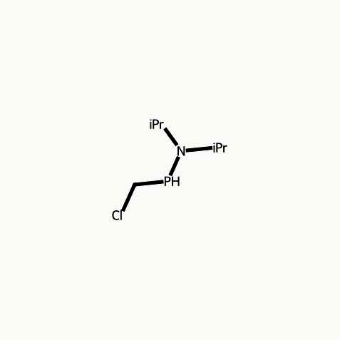 CC(C)N(PCCl)C(C)C